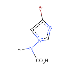 CCN(C(=O)O)n1cnc(Br)c1